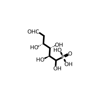 O=CC[C@@H](O)[C@H](O)[C@H](O)C(O)P(=O)(O)O